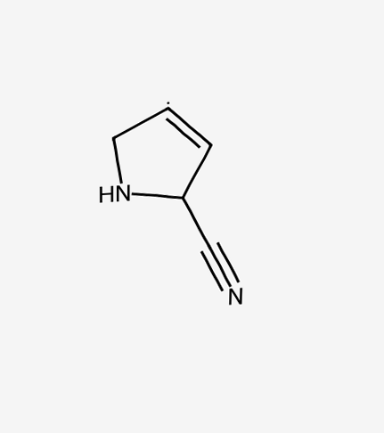 N#CC1C=[C]CN1